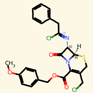 COc1ccc(COC(=O)C2=C(CCl)CS[C@@H]3[C@@H](/N=C(\Cl)Cc4ccccc4)C(=O)N23)cc1